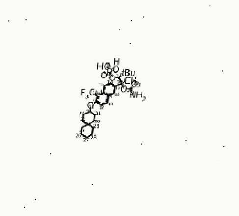 CC(C)(C)C(OP(=O)(O)O)[C@](C)(OC(N)=O)c1ccc2c(C(F)(F)F)c(OC3CCC4(CCCCC4)CC3)ccc2c1